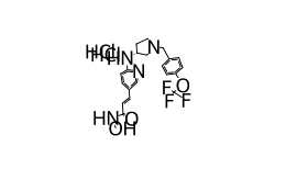 Cl.Cl.O=C(C=Cc1ccc(N[C@@H]2CCN(Cc3ccc(OC(F)(F)F)cc3)C2)nc1)NO